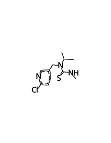 CNC(=S)N(Cc1ccc(Cl)nc1)C(C)C